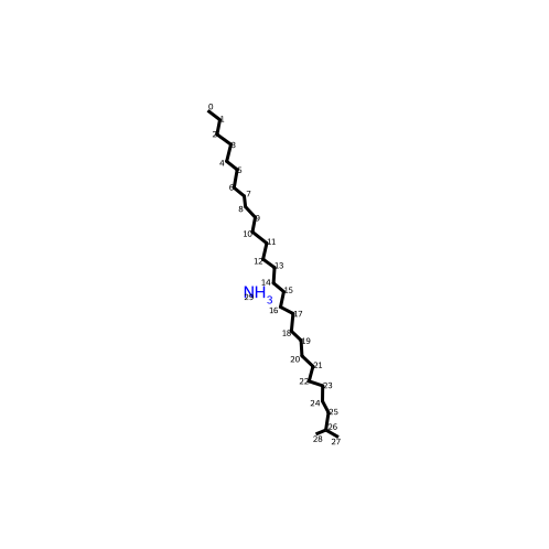 CCCCCCCCCCCCCCCCCCCCCCCCCCC(C)C.N